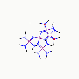 CN(C)P(=N[P+](N=P(N(C)C)(N(C)C)N(C)C)(N=P(N(C)C)(N(C)C)N(C)C)N=P(N(C)C)(N(C)C)N(C)C)(N(C)C)N(C)C.[I-]